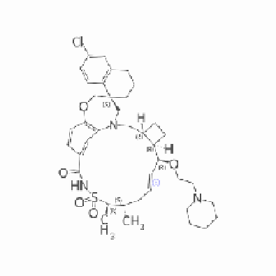 C[C@@H]1[C@@H](C)C/C=C/[C@H](OCCN2CCCCC2)[C@@H]2CC[C@H]2CN2C[C@@]3(CCCc4cc(Cl)ccc43)COc3ccc(cc32)C(=O)NS1(=O)=O